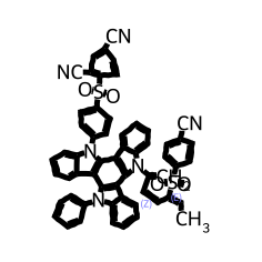 C=C(/C=C\C(=C/C)S(=O)(=O)c1ccc(C#N)cc1)n1c2ccccc2c2c1c1c3ccccc3n(-c3ccccc3)c1c1c3ccccc3n(-c3ccc(S(=O)(=O)c4ccc(C#N)cc4C#N)cc3)c21